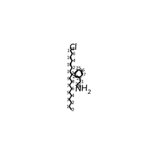 CCCCCCCCCCCCCCCCCCCl.NCCc1ccccc1